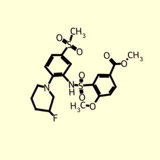 COC(=O)c1ccc(OC)c(S(=O)(=O)Nc2cc(S(C)(=O)=O)ccc2N2CCCC(F)C2)c1